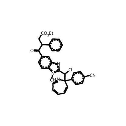 CCOC(=O)CC(C(=O)c1ccc2c(c1)nc(C(Cl)C1(c3ccc(C#N)cc3)C=CC=CC=N1)n2C)c1ccccc1